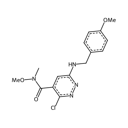 COc1ccc(CNc2cc(C(=O)N(C)OC)c(Cl)nn2)cc1